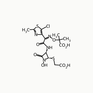 Cc1nc(/C(=N/OC(C)(C)C(=O)O)C(=O)N[C@@H]2C(=O)N(O)[C@@H]2SCC(=O)O)c(Cl)s1